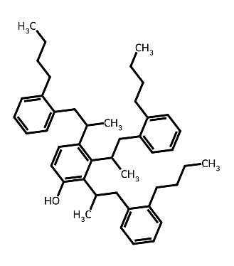 CCCCc1ccccc1CC(C)c1ccc(O)c(C(C)Cc2ccccc2CCCC)c1C(C)Cc1ccccc1CCCC